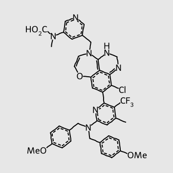 COc1ccc(CN(Cc2ccc(OC)cc2)c2cc(C)c(C(F)(F)F)c(-c3cc4c5c(c3Cl)=NCNC=5N(Cc3cncc(N(C)C(=O)O)c3)C=CO4)n2)cc1